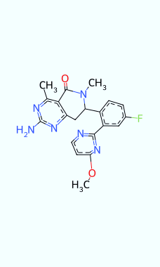 COc1ccnc(-c2cc(F)ccc2C2Cc3nc(N)nc(C)c3C(=O)N2C)n1